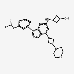 O[C@H]1C[C@@H](Nc2nc(N3CC(N4CCOCC4)C3)c3cnn(-c4cccc(OC(F)F)c4)c3n2)C1